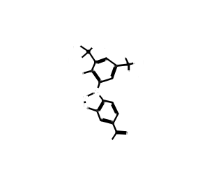 CC(C)(C)c1cc(N2NNc3cc(C(=O)O)ccc32)c(O)c(C(C)(C)C)c1